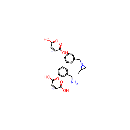 CC1CN1Cc1ccccc1.NCc1ccccc1.O=C(O)/C=C\C(=O)O.O=C(O)/C=C\C(=O)O